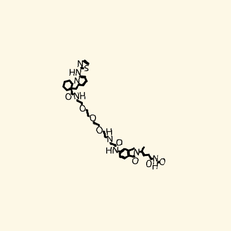 CC(CCC(=O)NC=O)N1Cc2cc(NC(=O)CNCCOCCOCCOCCNC(=O)C3(Cc4cccc(Nc5nccs5)n4)CCCCC3)ccc2C1=O